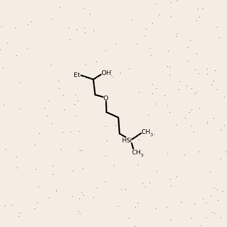 CCC(O)COCCC[SiH](C)C